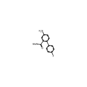 CNC(=O)c1cc(N)ccc1-c1ccc(F)cc1